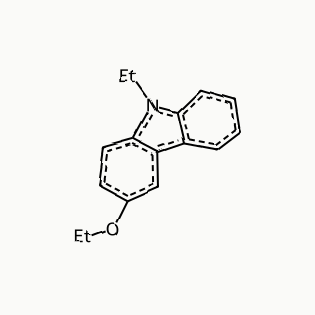 CCOc1ccc2c(c1)c1ccccc1n2CC